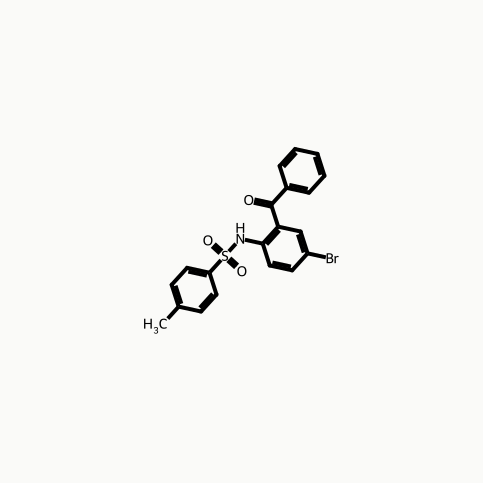 Cc1ccc(S(=O)(=O)Nc2ccc(Br)cc2C(=O)c2ccccc2)cc1